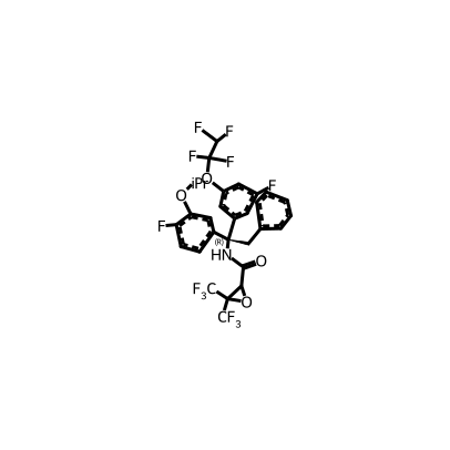 CC(C)Oc1cc([C@@](Cc2ccccc2)(NC(=O)C2OC2(C(F)(F)F)C(F)(F)F)c2cc(F)cc(OC(F)(F)C(F)F)c2)ccc1F